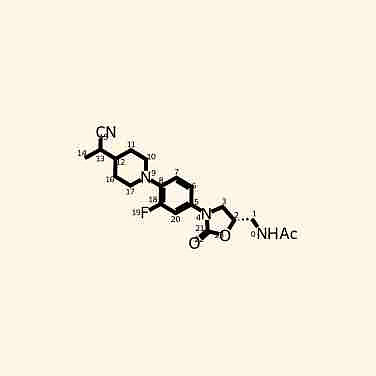 CC(=O)NC[C@H]1CN(c2ccc(N3CCC(C(C)C#N)CC3)c(F)c2)C(=O)O1